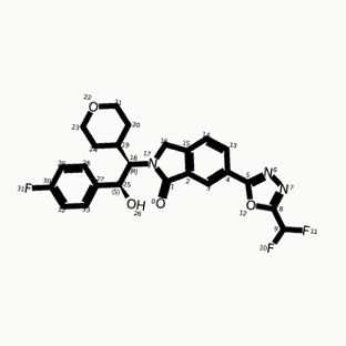 O=C1c2cc(-c3nnc(C(F)F)o3)ccc2CN1[C@H](C1CCOCC1)[C@@H](O)c1ccc(F)cc1